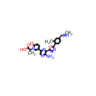 CNCc1ccc(-c2nnc(-c3nc(-c4ccc(=O)n(C(C)C(=O)O)c4)cnc3N)o2)c(C)c1